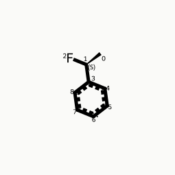 C[C@H](F)c1cc[c]cc1